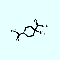 NC(=O)C1(N)CCN(C(=O)O)CC1